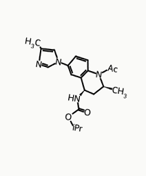 CC(=O)N1c2ccc(-n3cnc(C)c3)cc2[C@H](NC(=O)OC(C)C)C[C@@H]1C